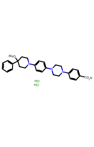 COC1(c2ccccc2)CCN(c2ccc(N3CCN(c4ccc(C(=O)O)cc4)CC3)cc2)CC1.Cl.Cl